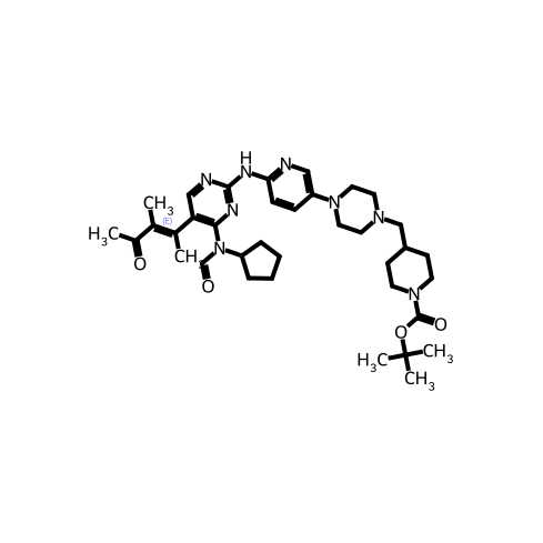 CC(=O)/C(C)=C(\C)c1cnc(Nc2ccc(N3CCN(CC4CCN(C(=O)OC(C)(C)C)CC4)CC3)cn2)nc1N(C=O)C1CCCC1